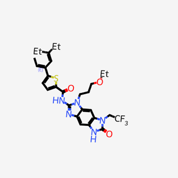 C/C=C(\C=C(CC)CC)c1ccc(C(=O)Nc2nc3cc4[nH]c(=O)n(CC(F)(F)F)c4cc3n2CCCOCC)s1